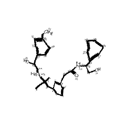 CC(C)(Cc1cccc(CC(=O)N[C@H](CO)c2ccccc2)c1)NCC(O)c1ccc(O)cc1